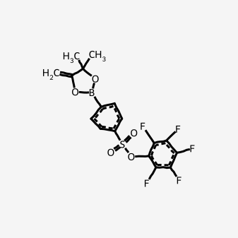 C=C1OB(c2ccc(S(=O)(=O)Oc3c(F)c(F)c(F)c(F)c3F)cc2)OC1(C)C